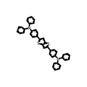 c1ccc(N(c2ccccc2)c2ccc(-c3cc4sc(-c5ccc(N(c6ccccc6)c6ccccc6)cc5)cc4s3)cc2)cc1